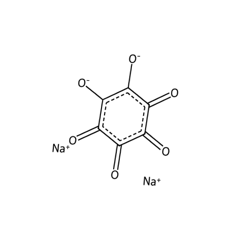 O=c1c([O-])c([O-])c(=O)c(=O)c1=O.[Na+].[Na+]